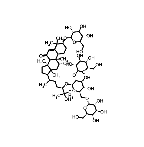 C[C@H](CC[C@@H](O[C@@H]1O[C@H](CO[C@H]2O[C@H](CO)[C@@H](O)[C@H](O)[C@H]2O)[C@@H](O)[C@H](O)[C@H]1O[C@@H]1O[C@H](CO)[C@@H](O)[C@H](O)[C@H]1O)C(C)(C)O)C1CC[C@@]2(C)C3C(=O)C=C4C(CC[C@H](O[C@@H]5O[C@H](CO)[C@@H](O)[C@H](O)[C@H]5O)C4(C)C)[C@]3(C)[C@H](O)C[C@]12C